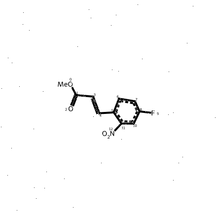 COC(=O)C=Cc1ccc(F)cc1[N+](=O)[O-]